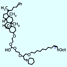 CCCCCCCC/C=C\CCCCCCCCOCC(CN1CCCCC1)OCCOC(O)OCCOC1CCC2(C)C(=CCC3[C@@H]4CCC([C@@H](C)CCCC(C)C)C4(C)CC[C@@]32C)C1